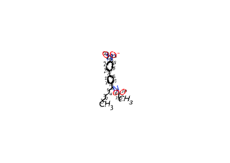 CCCCCCC(=NOC(=O)CC)c1ccc(-c2ccc([N+](=O)[O-])cc2)cc1